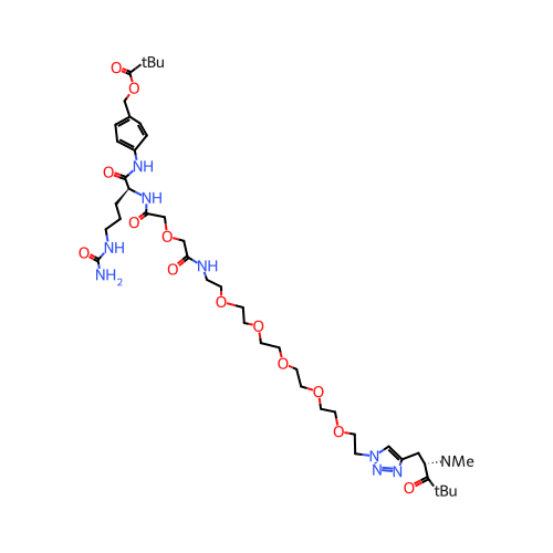 CN[C@@H](Cc1cn(CCOCCOCCOCCOCCOCCNC(=O)COCC(=O)N[C@@H](CCCNC(N)=O)C(=O)Nc2ccc(COC(=O)C(C)(C)C)cc2)nn1)C(=O)C(C)(C)C